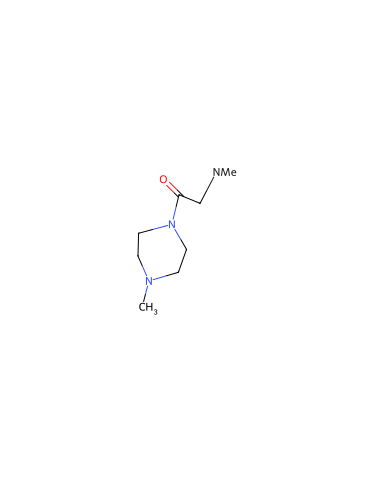 CNCC(=O)N1CCN(C)CC1